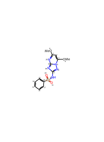 COc1cc(OC)n2nc(NS(=O)(=O)c3ccccc3)nc2n1